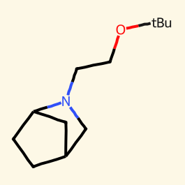 CC(C)(C)OCCN1CC2CCC1C2